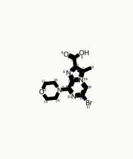 Cc1c(C(=O)O)nc2c(N3CCOCC3)nc(Br)cn12